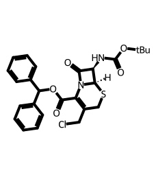 CC(C)(C)OC(=O)N[C@@H]1C(=O)N2C(C(=O)OC(c3ccccc3)c3ccccc3)=C(CCl)CS[C@H]12